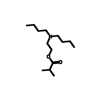 CCCCN(CCCC)CCOC(=O)C(C)C